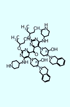 CCC(CC)Oc1nc(NC2CCNCC2)c(N2CC[C@@H](N3CCc4ccccc4C3)[C@H](O)C2)c(C(=O)c2nc(OC(CC)CC)nc(NC3CCNCC3)c2N2CC[C@@H](N3CCc4ccccc4C3)[C@H](O)C2)n1